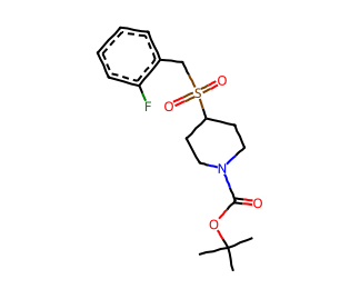 CC(C)(C)OC(=O)N1CCC(S(=O)(=O)Cc2ccccc2F)CC1